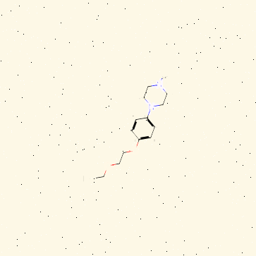 CCOCCOc1ccc(N2CCN(C)CC2)cc1